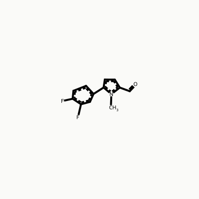 Cn1c(C=O)ccc1-c1ccc(F)c(F)c1